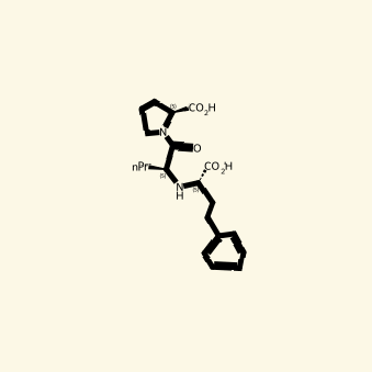 CCC[C@H](N[C@@H](CCc1ccccc1)C(=O)O)C(=O)N1CCC[C@H]1C(=O)O